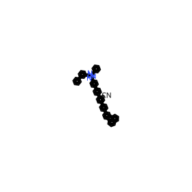 N#Cc1cc(-c2ccc(-c3ccc4c(c3)-c3cccc5cccc-4c35)cc2)ccc1-c1ccc(-c2ccc(-c3nc(-c4ccccc4)nc(-c4cccc(-c5ccccc5)c4)n3)cc2)cc1